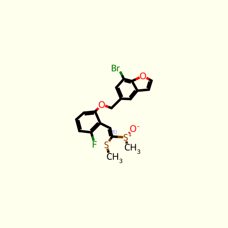 CS/C(=C\c1c(F)cccc1OCc1cc(Br)c2occc2c1)[S+](C)[O-]